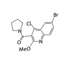 COc1nc2ccc(Br)cc2c(Cl)c1C(=O)N1CCCC1